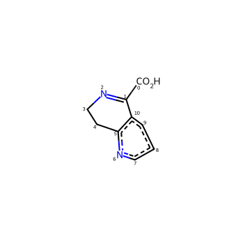 O=C(O)C1=NCCc2ncccc21